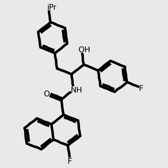 CC(C)c1ccc(CC(NC(=O)c2ccc(F)c3ccccc23)C(O)c2ccc(F)cc2)cc1